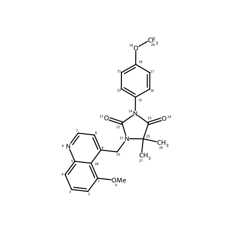 COc1cccc2nccc(CN3C(=O)N(c4ccc(OC(F)(F)F)cc4)C(=O)C3(C)C)c12